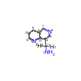 [2H]C([2H])(N)c1cncc2cccnc12